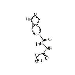 CC(C)(C)OC(=O)NNC(=O)c1ccc2[nH]ncc2c1